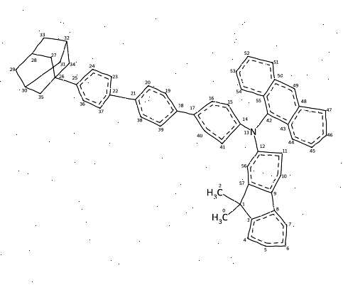 CC1(C)c2ccccc2-c2ccc(N(c3ccc(-c4ccc(-c5ccc(C67CC8CC(CC(C8)C6)C7)cc5)cc4)cc3)c3c4ccccc4cc4ccccc34)cc21